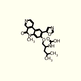 CC(C)CC(COc1cc2c(cc1-c1cnco1)c1ccncc1c(=O)n2C)NC(=O)O